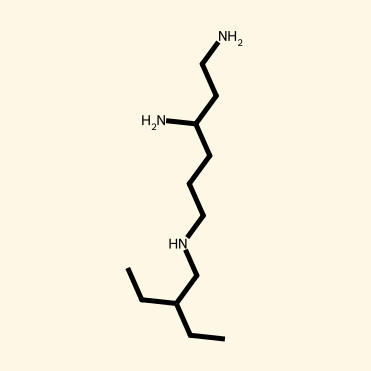 CCC(CC)CNCCCC(N)CCN